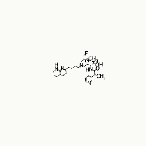 COC(CF)CN(CCCCc1ccc2c(n1)NCCC2)CCC(NC(=O)C(C)c1cccnc1)C(=O)O